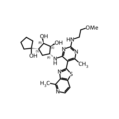 COCCNc1nc(C)c(-c2nc3c(C)nccc3s2)c(N[C@@H]2C[C@H](C3(O)CCCC3)[C@@H](O)[C@H]2O)n1